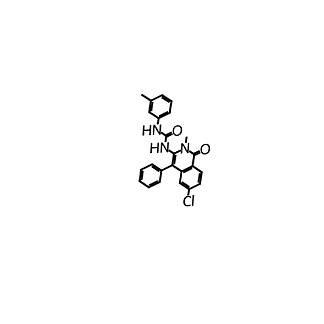 Cc1cccc(NC(=O)Nc2c(-c3ccccc3)c3cc(Cl)ccc3c(=O)n2C)c1